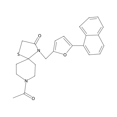 CC(=O)N1CCC2(CC1)SCC(=O)N2Cc1ccc(-c2cccc3ccccc23)o1